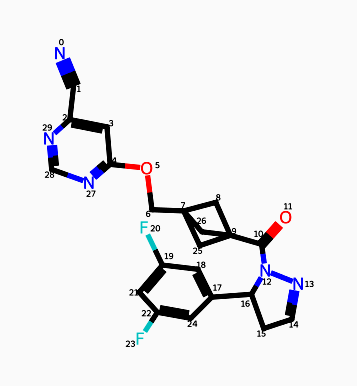 N#Cc1cc(OCC23CC(C(=O)N4N=CCC4c4cc(F)cc(F)c4)(C2)C3)ncn1